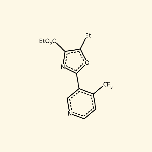 CCOC(=O)c1nc(-c2cnccc2C(F)(F)F)oc1CC